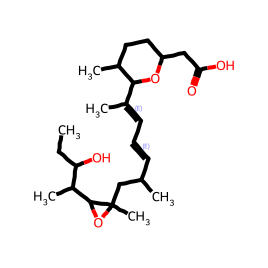 CCC(O)C(C)C1OC1(C)CC(C)/C=C/C=C(\C)C1OC(CC(=O)O)CCC1C